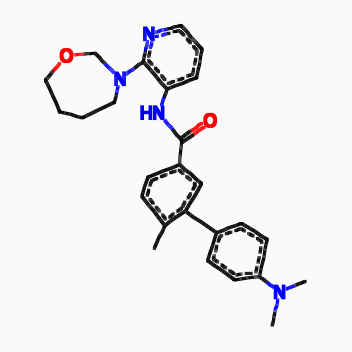 Cc1ccc(C(=O)Nc2cccnc2N2CCCCOC2)cc1-c1ccc(N(C)C)cc1